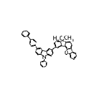 CC1(C)c2ccc(-c3ccc4c(c3)c3cc(-c5ccc(-c6ccccc6)cc5)ccc3n4-c3ccccc3)cc2-c2c1ccc1c2oc2ccccc21